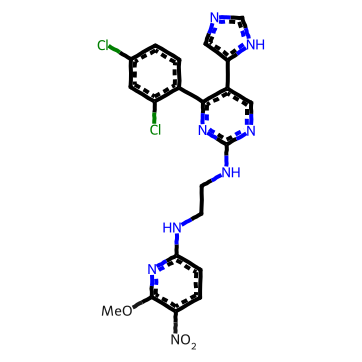 COc1nc(NCCNc2ncc(-c3cnc[nH]3)c(-c3ccc(Cl)cc3Cl)n2)ccc1[N+](=O)[O-]